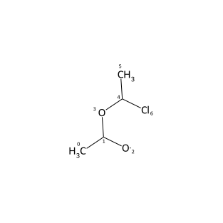 CC([O])OC(C)Cl